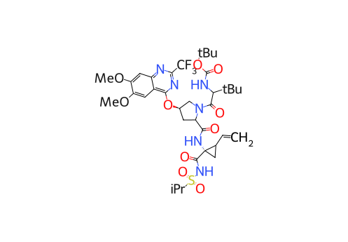 C=CC1C[C@@]1(NC(=O)C1C[C@@H](Oc2nc(C(F)(F)F)nc3cc(OC)c(OC)cc23)CN1C(=O)C(NC(=O)OC(C)(C)C)C(C)(C)C)C(=O)NS(=O)(=O)C(C)C